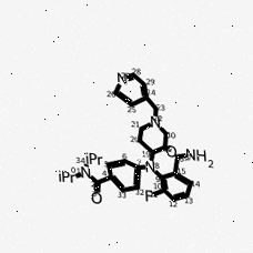 CC(C)N(C(=O)c1ccc(N(c2c(F)cccc2C(N)=O)C2CCN(Cc3ccncc3)CC2)cc1)C(C)C